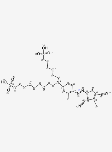 Cc1cc(N(CCOCCCS(=O)(=O)O)CCOCCOCCOS(=O)(=O)O)ccc1/N=N/c1sc(C#N)c(C)c1C#N